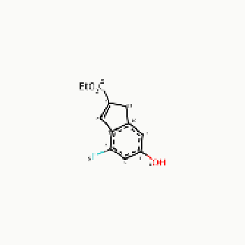 CCOC(=O)C1=Cc2c(F)cc(O)cc2C1